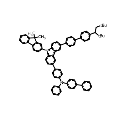 CC(C)(C)CC(c1ccc(-c2ccc(-c3ccc4c(c3)c3cc(-c5ccc(N(c6ccccc6)c6ccc(-c7ccccc7)cc6)cc5)ccc3n4-c3ccc4c(c3)C(C)(C)c3ccccc3-4)cc2)cc1)C(C)(C)C